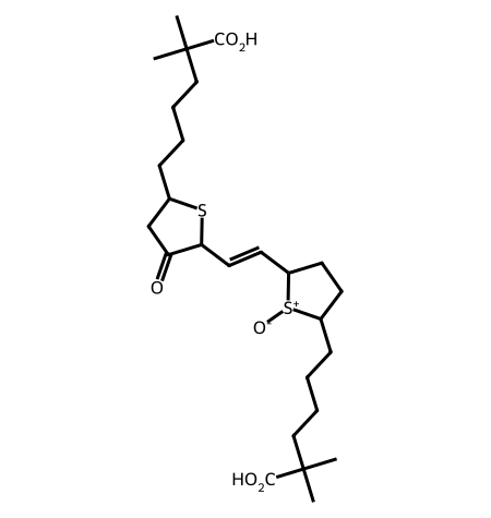 CC(C)(CCCCC1CC(=O)C(C=CC2CCC(CCCCC(C)(C)C(=O)O)[S+]2[O-])S1)C(=O)O